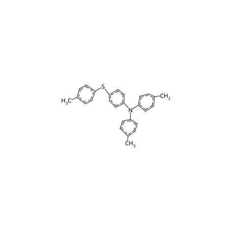 Cc1ccc(Sc2ccc(N(c3ccc(C)cc3)c3ccc(C)cc3)cc2)cc1